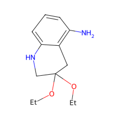 CCOC1(OCC)CNc2cccc(N)c2C1